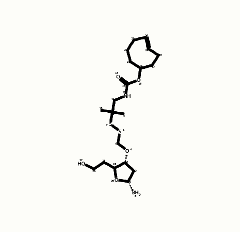 B[C@H]1C[C@@H](OCSSC(C)(C)CNC(=O)OC2CC/C=C/CCC2)C(CCO)O1